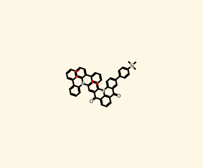 C[Si](C)(C)c1ccc(-c2ccc3c(c2)c(=O)c2cccc4c(=O)c5cc(N(c6ccccc6-c6ccccc6)c6ccccc6-c6ccccc6)ccc5n3c24)cc1